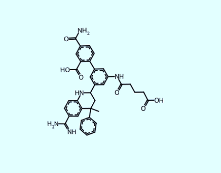 CC1(c2ccccc2)CC(c2cc(NC(=O)CCCC(=O)O)cc(-c3ccc(C(N)=O)cc3C(=O)O)c2)Nc2ccc(C(=N)N)cc21